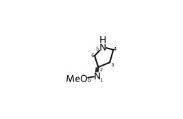 CO/N=C1/CCNC1